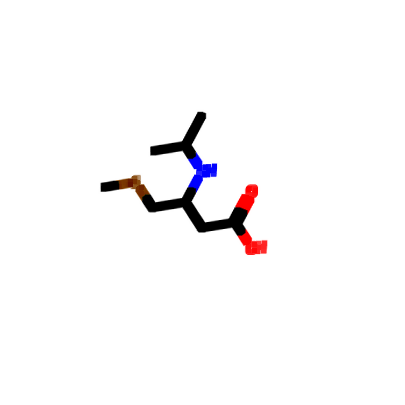 CSCC(CC(=O)O)NC(C)C